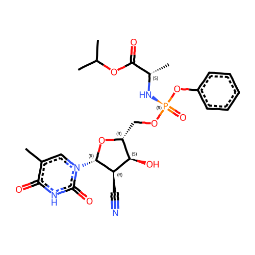 Cc1cn([C@@H]2O[C@H](CO[P@](=O)(N[C@@H](C)C(=O)OC(C)C)Oc3ccccc3)[C@@H](O)[C@H]2C#N)c(=O)[nH]c1=O